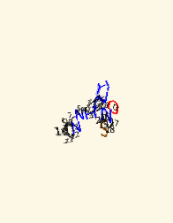 O=C([C@@H]1C[C@H](CNCc2ccccn2)CN1)N1CCSC1